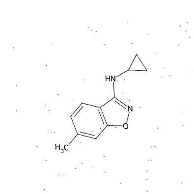 Cc1ccc2c(NC3CC3)noc2c1